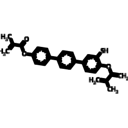 C=C(C)C(=C)Oc1ccc(-c2ccc(-c3ccc(OC(=O)C(=C)C)cc3)cc2)cc1S